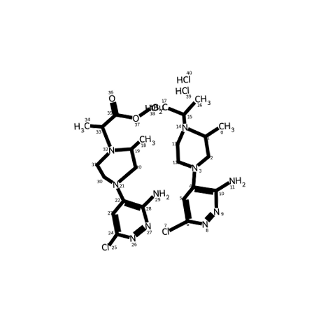 CC1CN(c2cc(Cl)nnc2N)CCN1C(C)C(=O)O.CC1CN(c2cc(Cl)nnc2N)CCN1C(C)C(=O)OC(C)(C)C.Cl.Cl